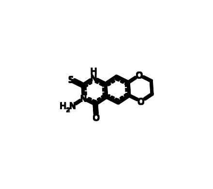 Nn1c(=S)[nH]c2cc3c(cc2c1=O)OCCO3